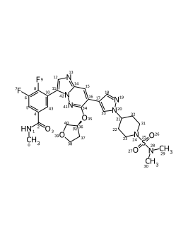 CNC(=O)c1cc(F)c(F)c(-c2cnc3cc(-c4cnn(C5CCN(S(=O)(=O)N(C)C)CC5)c4)c(O[C@H]4CCOC4)nn23)c1